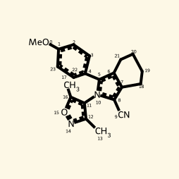 COc1ccc(-c2c3c(c(C#N)n2-c2c(C)noc2C)CCCC3)cc1